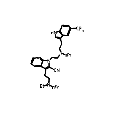 CCCN(CC)CCc1c(C#N)n(CCN(CCC)CCc2c[nH]c3ccc(C(F)(F)F)cc23)c2ccccc12